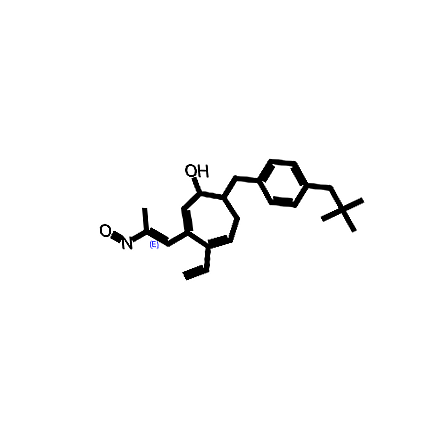 C=CC1=CCC(Cc2ccc(CC(C)(C)C)cc2)C(O)C=C1/C=C(\C)N=O